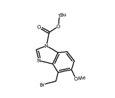 COc1ccc2c(ncn2C(=O)OC(C)(C)C)c1CBr